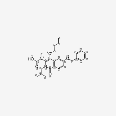 CCCCOc1c(N(C)C(=O)O)n(CC(C)C)c(=O)c2ccc(OCc3ccccc3)cc12